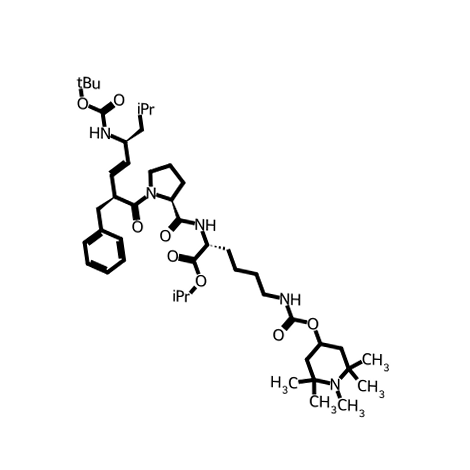 CC(C)C[C@@H](/C=C/[C@H](Cc1ccccc1)C(=O)N1CCC[C@H]1C(=O)N[C@H](CCCCNC(=O)OC1CC(C)(C)N(C)C(C)(C)C1)C(=O)OC(C)C)NC(=O)OC(C)(C)C